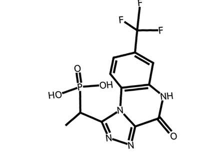 CC(c1nnc2c(=O)[nH]c3cc(C(F)(F)F)ccc3n12)P(=O)(O)O